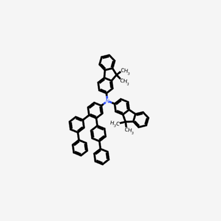 CC1(C)c2ccccc2-c2ccc(N(c3ccc(-c4cccc(-c5ccccc5)c4)c(-c4ccc(-c5ccccc5)cc4)c3)c3ccc4c(c3)C(C)(C)c3ccccc3-4)cc21